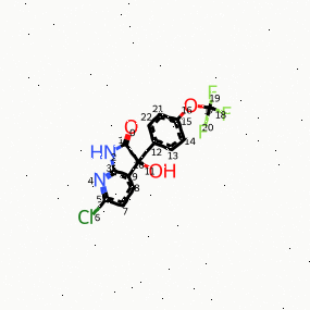 O=C1Nc2nc(Cl)ccc2C1(O)c1ccc(OC(F)(F)F)cc1